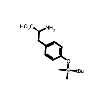 CC(C)(C)[Si](C)(C)Oc1ccc(C[C@H](N)C(=O)O)cc1